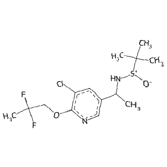 CC(N[S+]([O-])C(C)(C)C)c1cnc(OCC(C)(F)F)c(Cl)c1